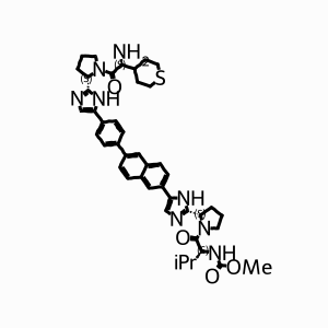 COC(=O)N[C@H](C(=O)N1CCC[C@H]1c1ncc(-c2ccc3cc(-c4ccc(-c5cnc([C@@H]6CCCN6C(=O)[C@@H](N)C6CCSCC6)[nH]5)cc4)ccc3c2)[nH]1)C(C)C